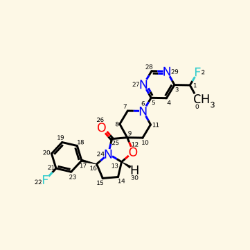 CC(F)c1cc(N2CCC3(CC2)O[C@@H]2CC[C@@H](c4cccc(F)c4)N2C3=O)ncn1